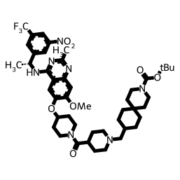 COc1cc2nc(C)nc(N[C@H](C)c3cc([N+](=O)[O-])cc(C(F)(F)F)c3)c2cc1OC1CCN(C(=O)C2CCN(CC3CCC4(CC3)CCN(C(=O)OC(C)(C)C)CC4)CC2)CC1